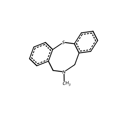 CN1Cc2ccccc2Sc2ccccc2C1